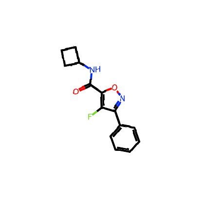 O=C(NC1CCC1)c1onc(-c2ccccc2)c1F